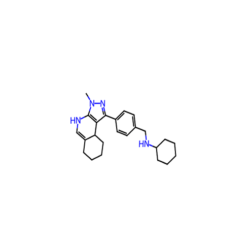 Cn1nc(-c2ccc(CNC3CCCCC3)cc2)c2c1NC=C1CCCCC12